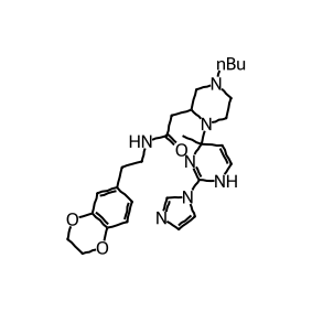 CCCCN1CCN(C2(C)C=CNC(n3ccnc3)=N2)C(CC(=O)NCCc2ccc3c(c2)OCCO3)C1